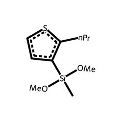 CCCc1sccc1[Si](C)(OC)OC